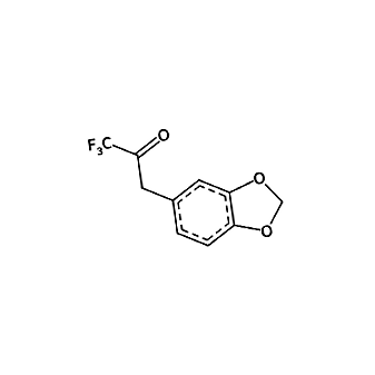 O=C(Cc1ccc2c(c1)OCO2)C(F)(F)F